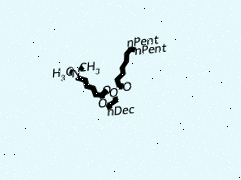 CCCCCCCCCCC(COC(=O)CCCCCC(CCCCC)CCCCC)OC(=O)CCCCCN(C)C